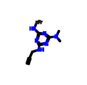 C#CCNc1nc(NCCC)nc(N(C)C)n1